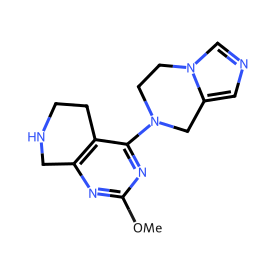 COc1nc2c(c(N3CCn4cncc4C3)n1)CCNC2